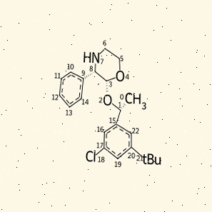 C[C@@H](O[C@H]1OCCN[C@H]1c1ccccc1)c1cc(Cl)cc(C(C)(C)C)c1